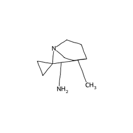 CC1C2CCN(CC2)C2(CC2)C1N